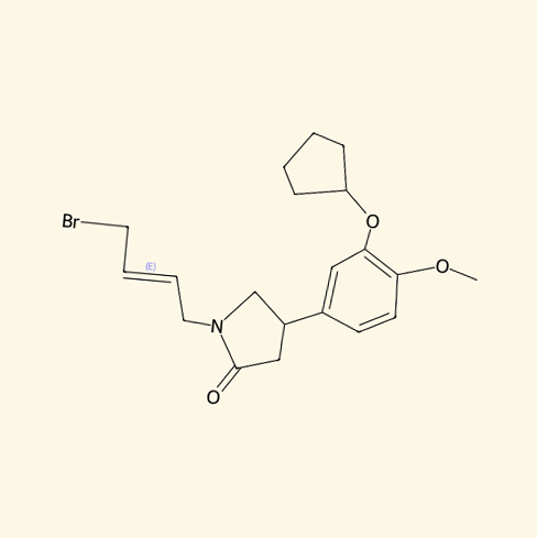 COc1ccc(C2CC(=O)N(C/C=C/CBr)C2)cc1OC1CCCC1